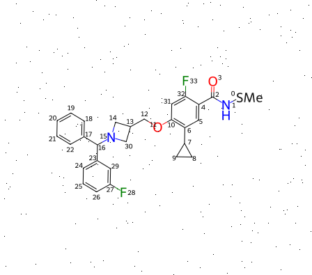 CSNC(=O)c1cc(C2CC2)c(OCC2CN(C(c3ccccc3)c3cccc(F)c3)C2)cc1F